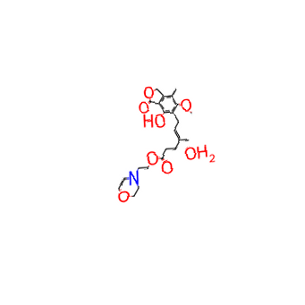 COc1c(C)c2c(c(O)c1C/C=C(\C)CCC(=O)OCCN1CCOCC1)C(=O)OC2.O